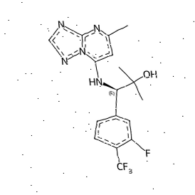 Cc1cc(N[C@H](c2ccc(C(F)(F)F)c(F)c2)C(C)(C)O)n2ncnc2n1